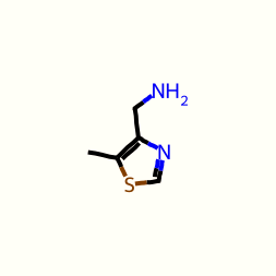 Cc1scnc1CN